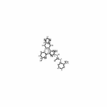 CCc1ccccc1CN(I)Cc1nc(-c2cccc(C)n2)c(-c2ccc3ncnn3c2)[nH]1